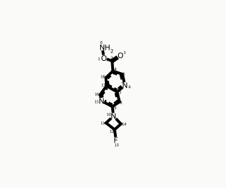 NOC(=O)c1cnc2cc(N3CC(F)C3)ncc2c1